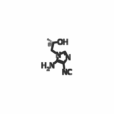 [C-]#[N+]c1ncn(C[C@H](C)O)c1N